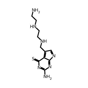 NCCNCCNCC1=C2C(=S)N=C(N)N=C2N=C1